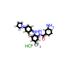 Cl.NC1CCCC(C(=O)Nc2cc(C(F)(F)F)cc3c2Nc2ccc(N4CCCC4)cc2S3)C1